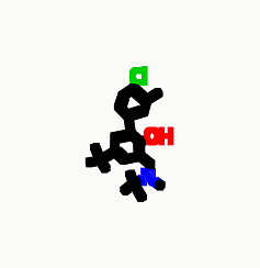 Cc1cc(-c2cc(C(C)(C)C)cc(CN(C)C(C)(C)C)c2O)ccc1Cl